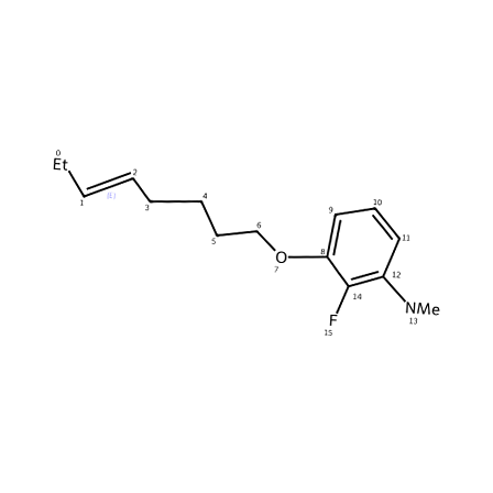 CC/C=C/CCCCOc1cccc(NC)c1F